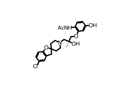 CC(=O)Nc1ccc(O)cc1OC[C@@](C)(O)CN1CCC2(CC1)Cc1cc(Cl)ccc1O2